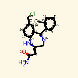 NC(=O)C=C1CN=C(c2ccccc2C(F)(F)F)c2cc(CCl)ccc2N1